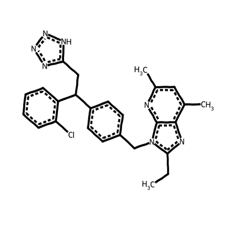 CCc1nc2c(C)cc(C)nc2n1Cc1ccc(C(Cc2nnn[nH]2)c2ccccc2Cl)cc1